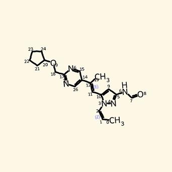 C/C=C\n1nc(NC=O)cc1/C=C(\C)c1cnc(COC2CCCC2)nc1